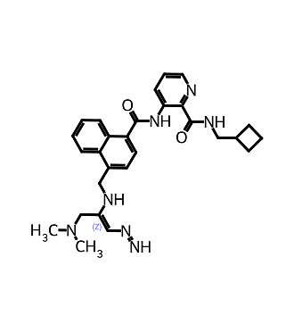 CN(C)C/C(=C/N=N)NCc1ccc(C(=O)Nc2cccnc2C(=O)NCC2CCC2)c2ccccc12